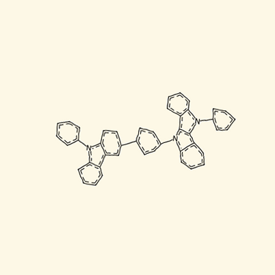 c1ccc(-n2c3ccccc3c3cc(-c4ccc(-n5c6ccccc6c6c5c5ccccc5n6-c5ccccc5)cc4)ccc32)cc1